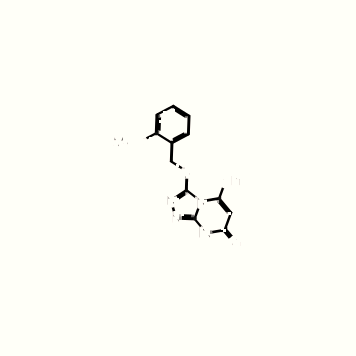 CCCc1cc(=O)[nH]c2nnc(SCc3ccccc3OC)n12